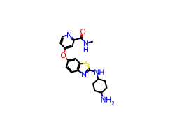 CNC(=O)c1cc(Oc2ccc3nc(NC4CCC(N)CC4)sc3c2)ccn1